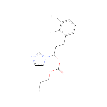 Cc1cccc(CCC(OC(=O)OCCC(C)C)n2ccnc2)c1C